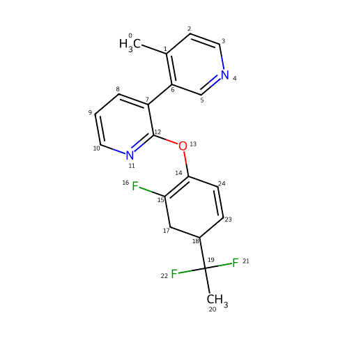 Cc1ccncc1-c1cccnc1OC1=C(F)CC(C(C)(F)F)C=C1